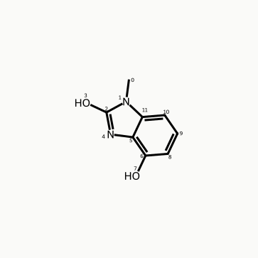 Cn1c(O)nc2c(O)cccc21